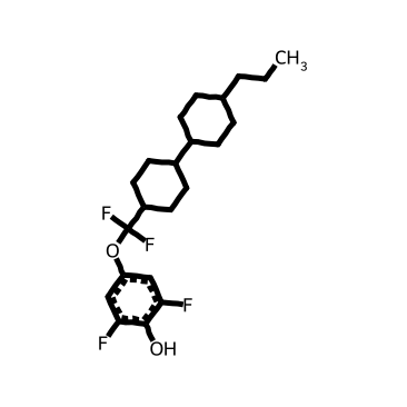 CCCC1CCC(C2CCC(C(F)(F)Oc3cc(F)c(O)c(F)c3)CC2)CC1